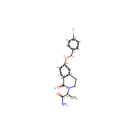 C[C@@H](C(N)=O)N1CCc2cc(OCc3ccc(F)cc3)ccc2C1=O